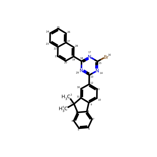 CC1(C)c2ccccc2-c2ccc(-c3nc(Br)nc(-c4ccc5ccccc5c4)n3)cc21